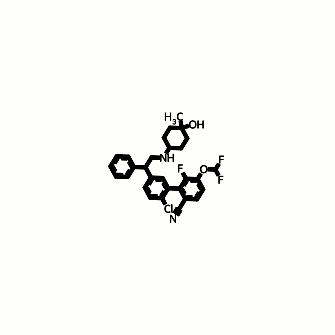 CC1(O)CCC(NCC(c2ccccc2)c2ccc(Cl)c(-c3c(C#N)ccc(OC(F)F)c3F)c2)CC1